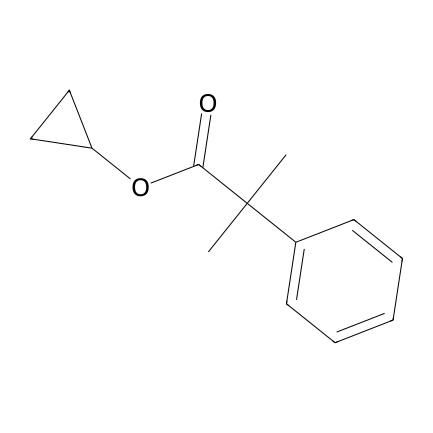 CC(C)(C(=O)OC1CC1)c1ccccc1